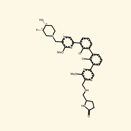 COc1nc(-c2cccc(-c3cccc(-c4cnc(CN5CC[C@@H](O)[C@@H](F)C5)c(OC)n4)c3Cl)c2Cl)cnc1CNCC1CCC(=O)N1